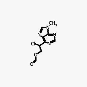 Cn1cnc2c(C(Cl)COC=O)ncnc21